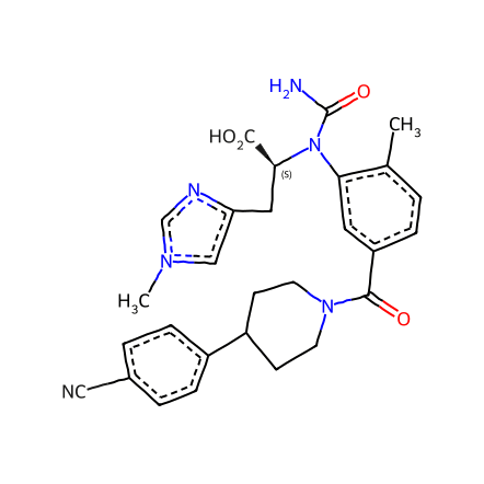 Cc1ccc(C(=O)N2CCC(c3ccc(C#N)cc3)CC2)cc1N(C(N)=O)[C@@H](Cc1cn(C)cn1)C(=O)O